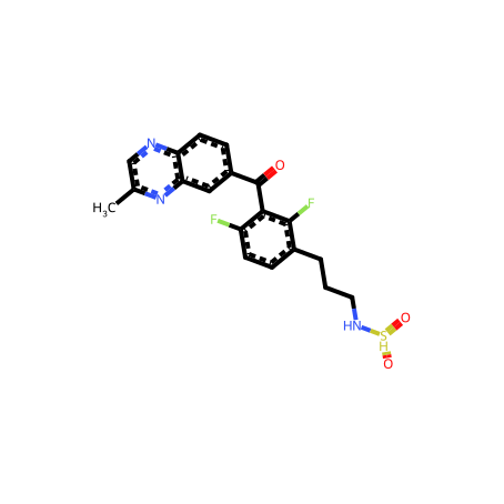 Cc1cnc2ccc(C(=O)c3c(F)ccc(CCCN[SH](=O)=O)c3F)cc2n1